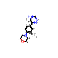 C[C@@H]1NC=NN=C1c1ccc(N2CCOCC2)c(C(F)(F)F)c1